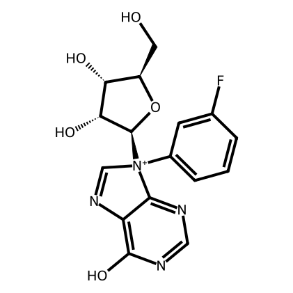 OC[C@H]1O[C@@H]([N+]2(c3cccc(F)c3)C=Nc3c(O)ncnc32)[C@H](O)[C@@H]1O